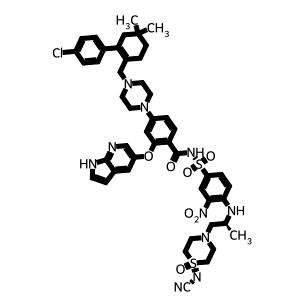 C[C@@H](CN1CCS(=O)(=NC#N)CC1)Nc1ccc(S(=O)(=O)NC(=O)c2ccc(N3CCN(CC4=C(c5ccc(Cl)cc5)CC(C)(C)CC4)CC3)cc2Oc2cnc3[nH]ccc3c2)cc1[N+](=O)[O-]